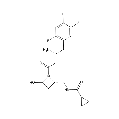 N[C@@H](CC(=O)N1C(O)C[C@H]1CNC(=O)C1CC1)Cc1cc(F)c(F)cc1F